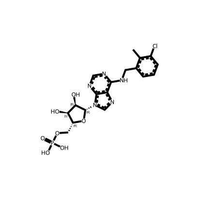 Cc1c(Cl)cccc1CNc1ncnc2c1ncn2[C@@H]1O[C@H](COP(=O)(O)O)[C@@H](O)[C@H]1O